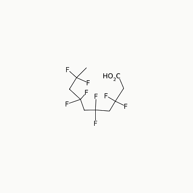 CC(F)(F)CC(F)(F)CC(F)(F)CC(F)(F)CC(=O)O